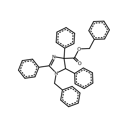 O=C(OCc1ccccc1)C1(c2ccccc2)N=C(c2ccccc2)N(Cc2ccccc2)C1c1ccccc1